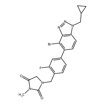 CN1C(=O)CN(Cc2ccc(-c3ccc4c(nnn4CC4CC4)c3Br)cc2F)C1=O